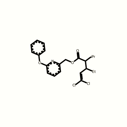 CCC(C=C(Cl)Cl)C(C(=O)OCc1cccc(Oc2ccccc2)n1)C(C)C